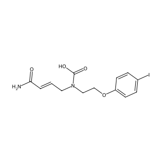 NC(=O)C=CCN(CCOc1ccc(I)cc1)C(=O)O